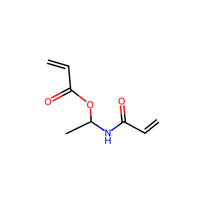 C=CC(=O)NC(C)OC(=O)C=C